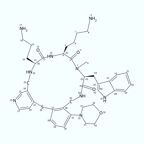 CN1C(=O)[C@H](CCCCN)NC(=O)[C@H](CCCN)NCc2cnccc2Sc2cccc(N3CCOCC3)c2CNC(=O)[C@@H]1Cc1c[nH]c2ccccc12